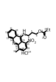 CCC(=O)OCCCNc1c2ccccc2nc2c(C)ccc([N+](=O)[O-])c12.Cl